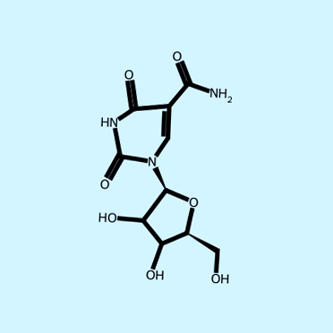 NC(=O)c1cn([C@H]2O[C@@H](CO)C(O)C2O)c(=O)[nH]c1=O